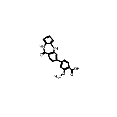 COc1cc(-c2ccc3c(c2)Nc2ccccc2NC3=O)ccc1C(=O)O